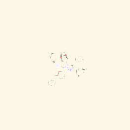 CC1(C)c2ccccc2-c2c(N(c3ccc(-c4ccccc4)cc3)c3c(-c4ccccc4)n4nc(-c5ccccc5)c(-c5ccccc5)c4c4ccccc34)cccc21